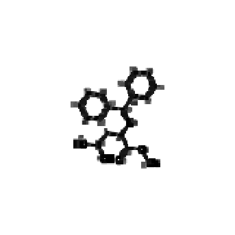 CC(C)(C)OC(=O)C(CB(O)O)N=C(c1ccccc1)c1ccccc1